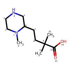 CN1CCNCC1CCC(C)(C)C(=O)O